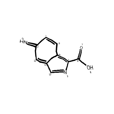 N=C1C=CC2=C(C(=O)O)N=CC2=C1